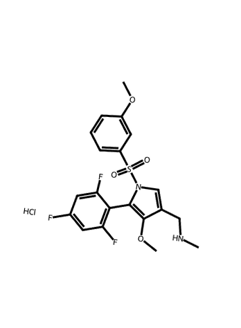 CNCc1cn(S(=O)(=O)c2cccc(OC)c2)c(-c2c(F)cc(F)cc2F)c1OC.Cl